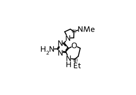 CC[C@@H]1CCOc2c(nc(N)nc2N2CC[C@@H](NC)C2)N1